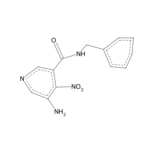 Nc1cncc(C(=O)NCc2ccccc2)c1[N+](=O)[O-]